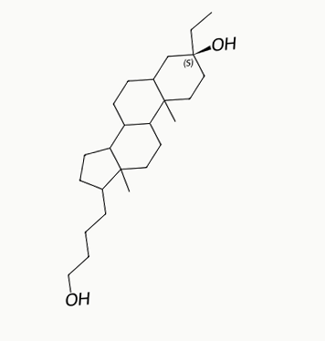 CC[C@]1(O)CCC2(C)C(CCC3C4CCC(CCCCO)C4(C)CCC32)C1